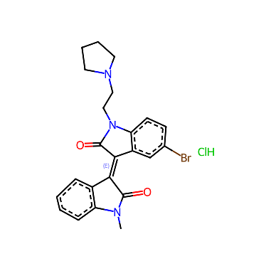 CN1C(=O)/C(=C2/C(=O)N(CCN3CCCC3)c3ccc(Br)cc32)c2ccccc21.Cl